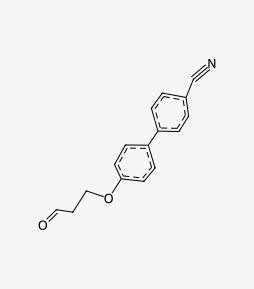 N#Cc1ccc(-c2ccc(OCCC=O)cc2)cc1